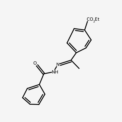 CCOC(=O)c1ccc(/C(C)=N/NC(=O)c2ccccc2)cc1